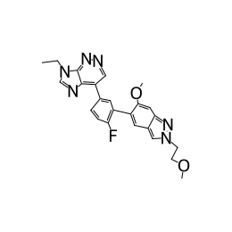 CCn1cnc2c(-c3ccc(F)c(-c4cc5cn(CCOC)nc5cc4OC)c3)cnnc21